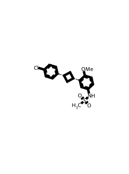 COc1ccc(NS(C)(=O)=O)cc1[C@H]1C[C@@H](c2ccc(Cl)cc2)C1